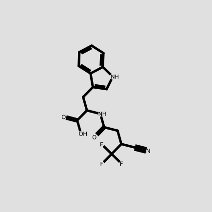 N#CC(CC(=O)NC(Cc1c[nH]c2ccccc12)C(=O)O)C(F)(F)F